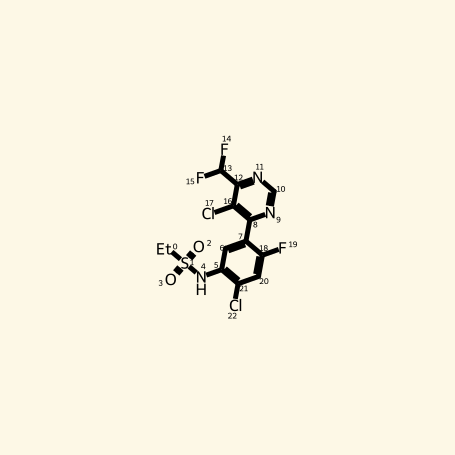 CCS(=O)(=O)Nc1cc(-c2ncnc(C(F)F)c2Cl)c(F)cc1Cl